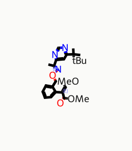 CO/C=C(/C(=O)OC)c1ccccc1CO/N=C(\C)c1cc(C(C)(C)C(C)(C)C)ncn1